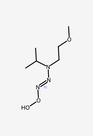 COCCN(/N=N/OO)C(C)C